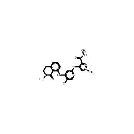 CNC(=O)c1nn(C)cc1Nc1cc(Nc2cccc3c2C(=O)N(C)CC3)c(Cl)cn1